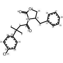 CC(C)(CC(=O)N1C(=O)OCC1Cc1ccccc1)c1ccc(Cl)cc1